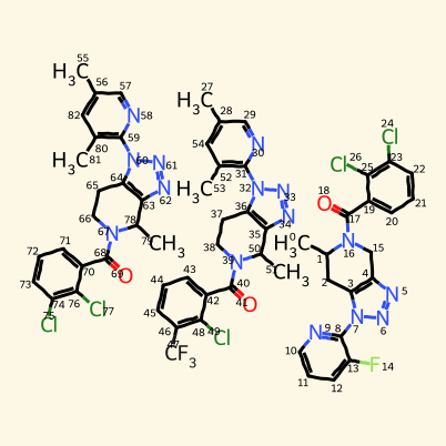 CC1Cc2c(nnn2-c2ncccc2F)CN1C(=O)c1cccc(Cl)c1Cl.Cc1cnc(-n2nnc3c2CCN(C(=O)c2cccc(C(F)(F)F)c2Cl)C3C)c(C)c1.Cc1cnc(-n2nnc3c2CCN(C(=O)c2cccc(Cl)c2Cl)C3C)c(C)c1